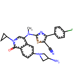 CN(c1nc(-c2ccc(F)cc2)c(C#N)s1)c1cn(C2CC2)c(=O)c2ccc(N3CC(N)C3)cc12